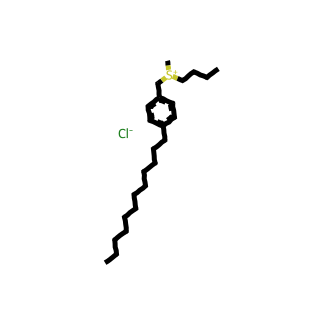 CCCCCCCCCCCCc1ccc(C[S+](C)CCCC)cc1.[Cl-]